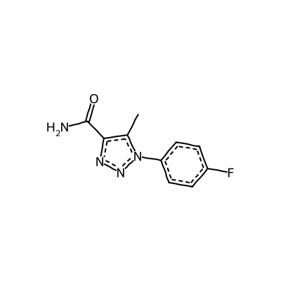 Cc1c(C(N)=O)nnn1-c1ccc(F)cc1